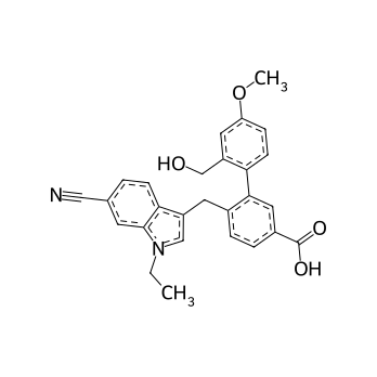 CCn1cc(Cc2ccc(C(=O)O)cc2-c2ccc(OC)cc2CO)c2ccc(C#N)cc21